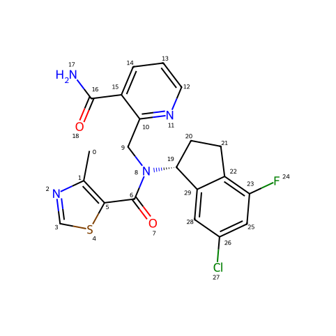 Cc1ncsc1C(=O)N(Cc1ncccc1C(N)=O)[C@@H]1CCc2c(F)cc(Cl)cc21